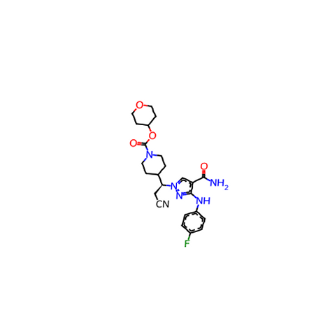 N#CC[C@@H](C1CCN(C(=O)OC2CCOCC2)CC1)n1cc(C(N)=O)c(Nc2ccc(F)cc2)n1